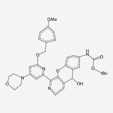 COc1ccc(COc2cc(N3CCOCC3)cc(-c3nccc4c3Oc3ccc(NC(=O)OC(C)(C)C)cc3C4O)n2)cc1